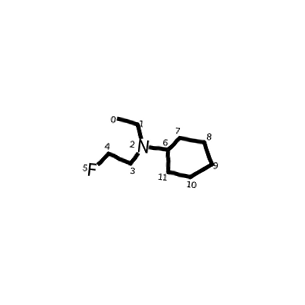 CCN(CCF)C1CCCCC1